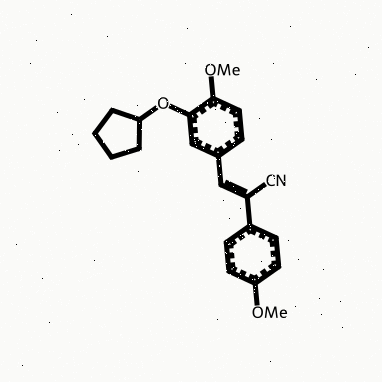 COc1ccc(C(C#N)=Cc2ccc(OC)c(OC3CCCC3)c2)cc1